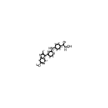 COc1cc2nc(C)c(-c3ccnc(Nc4ccc(C(=O)NO)cc4)n3)n2cn1